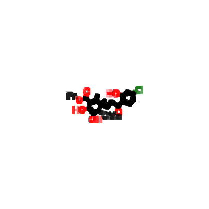 COC1C(O)=C(O)C(C(=O)OC(C)C)=C(C)C1(C)C=CC(=O)c1ccc(Cl)cc1O